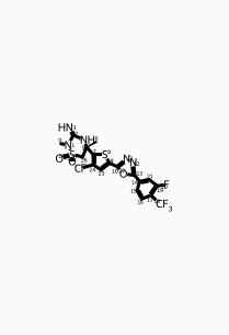 CN1C(=N)N[C@](C)(c2sc(-c3nnc(-c4ccc(C(F)(F)F)c(F)c4)o3)cc2Cl)CS1(=O)=O